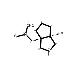 CCN(C=O)C[C@]12CCC[C@H]1CNC2